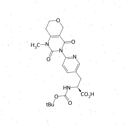 Cn1c2c(c(=O)n(-c3ccc(C[C@H](NC(=O)OC(C)(C)C)C(=O)O)cn3)c1=O)COCC2